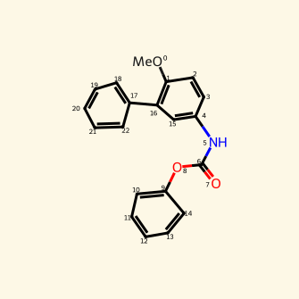 COc1ccc(NC(=O)Oc2ccccc2)cc1-c1ccccc1